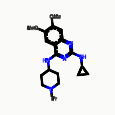 COc1cc2nc(NC3CC3)nc(NC3CCN(C(C)C)CC3)c2cc1OC